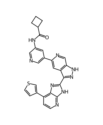 O=C(Nc1cncc(-c2cc3c(-c4nc5c(-c6ccsc6)ccnc5[nH]4)n[nH]c3cn2)c1)C1CCC1